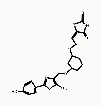 Cc1ccc(-c2nc(COC3CCCC(OCC=C4SC(=O)NC4=O)C3)c(C)o2)cc1